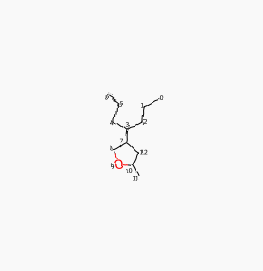 CCCC(CCC)C1COC(C)C1